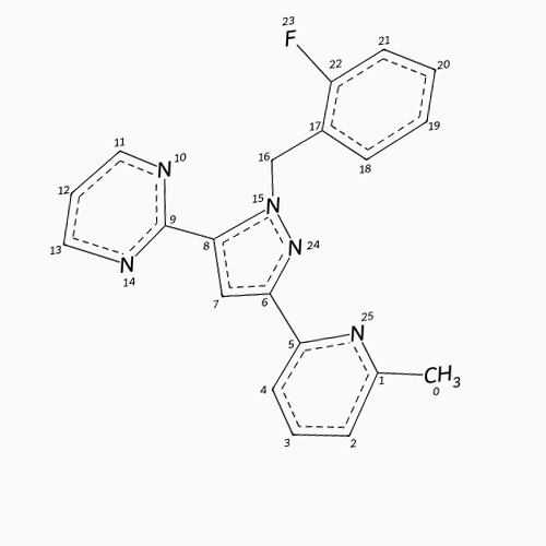 Cc1cccc(-c2cc(-c3ncccn3)n(Cc3ccccc3F)n2)n1